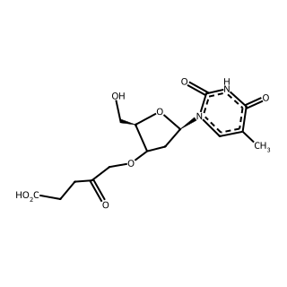 Cc1cn([C@H]2CC(OCC(=O)CCC(=O)O)[C@@H](CO)O2)c(=O)[nH]c1=O